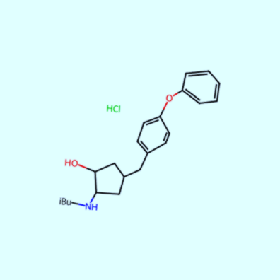 CCC(C)NC1CC(Cc2ccc(Oc3ccccc3)cc2)CC1O.Cl